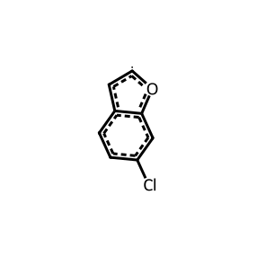 Clc1ccc2c[c]oc2c1